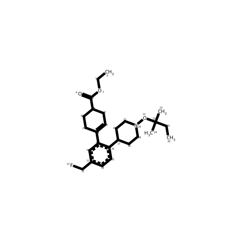 CCOC(=O)C1CC=C(c2cc(CF)ccc2C2CCN(OC(C)(C)CC)CC2)CC1